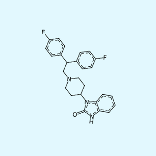 O=c1[nH]c2ccccc2n1C1CCN(CC(c2ccc(F)cc2)c2ccc(F)cc2)CC1